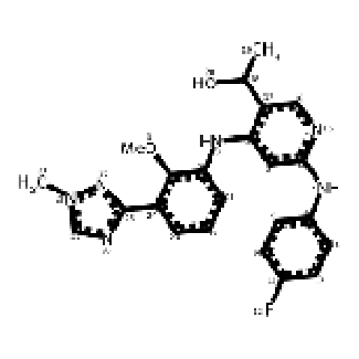 COc1c(Nc2cc(Nc3ccc(F)cc3)ncc2C(C)O)cccc1-c1ncn(C)n1